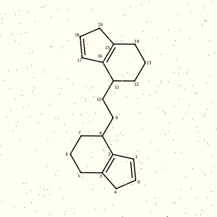 C1=CC2=C(C1)CCCC2CCC1CCCC2=C1C=CC2